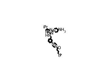 CC(C)c1cnn2c(NCc3cccc(N4CCN(C(=O)CCCN(C)C)CC4)c3)nc(N3CCC(N)CC3)nc12